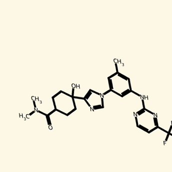 Cc1cc(Nc2nccc(C(F)(F)F)n2)cc(-n2cnc(C3(O)CCC(C(=O)N(C)C)CC3)c2)c1